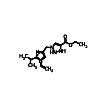 C=Cn1cc(CN2C=C(C(=O)OCC)NN2)nc1C(C)C